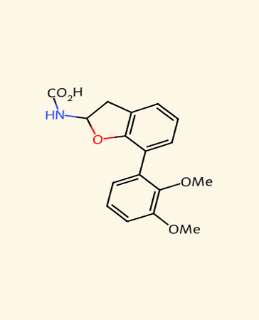 COc1cccc(-c2cccc3c2OC(NC(=O)O)C3)c1OC